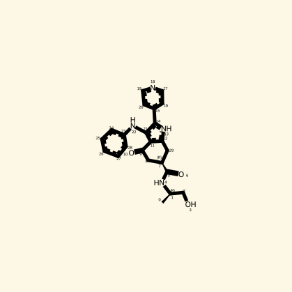 C[C@H](CO)NC(=O)[C@H]1CC(=O)c2c([nH]c(-c3ccncc3)c2Nc2ccccc2)C1